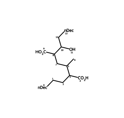 CCCCCCCCCCCCC(C(=O)O)C(C)CC(C(=O)O)C(O)CCCCCCCCCCC